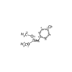 CO[SiH](Cc1ccc(Cl)cc1)OC